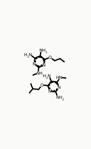 CCCOc1nc(NC)nc(N)c1N.CNc1nc(N)nc(OCC(C)C)c1N